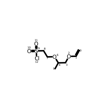 C=COCC(C)OCCS(=O)(=O)Cl